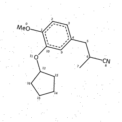 COc1ccc(CC(C)C#N)cc1OC1CCCC1